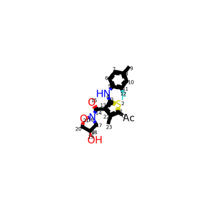 CC(=O)c1sc(Nc2ccc(C)cc2F)c(C(=O)N2C[C@@H](O)CO2)c1C